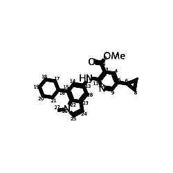 COC(=O)c1cc(C2CC2)cnc1Nc1cc(C2CCCCC2)c2c(ccn2C)c1